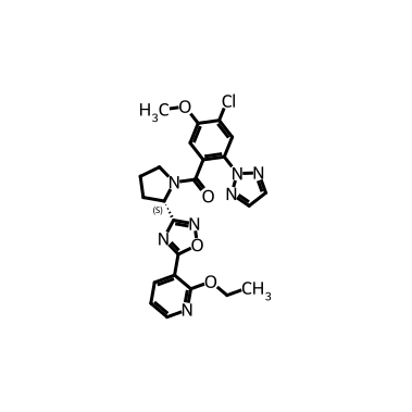 CCOc1ncccc1-c1nc([C@@H]2CCCN2C(=O)c2cc(OC)c(Cl)cc2-n2nccn2)no1